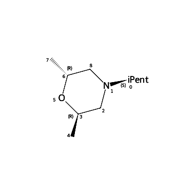 CCC[C@H](C)N1C[C@@H](C)O[C@H](C)C1